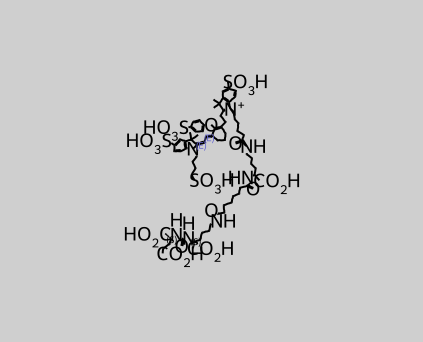 CC1(C)C(CCC2=C(Oc3ccc(S(=O)(=O)O)cc3)/C(=C/C=C3/N(CCCCS(=O)(=O)O)c4ccc(S(=O)(=O)O)cc4C3(C)C)CCC2)=[N+](CCCCCC(=O)NCCCCC(NC(=O)CCCCCCC(=O)NCCCC[C@H](NC(=O)N[C@@H](CCC(=O)O)C(=O)O)C(=O)O)C(=O)O)c2ccc(S(=O)(=O)O)cc21